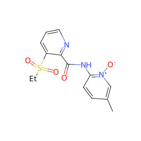 CCS(=O)(=O)c1cccnc1C(=O)Nc1ccc(C)c[n+]1[O-]